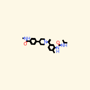 C=C(c1ccc(C)c(NC(=O)NC(C)C)c1)N1CCC(c2ccc(C(=O)NC)cc2)CC1